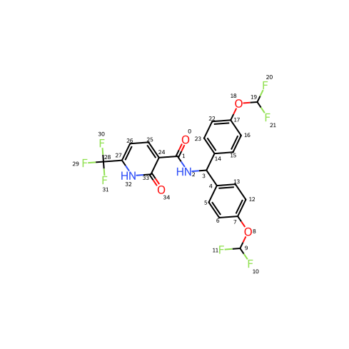 O=C(NC(c1ccc(OC(F)F)cc1)c1ccc(OC(F)F)cc1)c1ccc(C(F)(F)F)[nH]c1=O